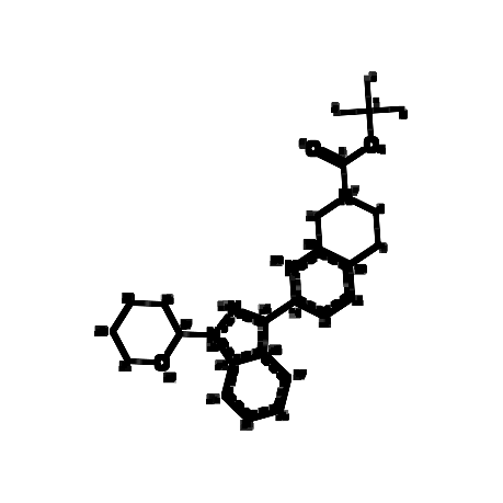 CC(C)(C)OC(=O)N1CCc2ccc(-c3nn(C4CCCCO4)c4ccccc34)nc2C1